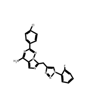 Nc1nc(-c2ccc(Cl)cc2)nn2c(Cc3cn(-c4ccccc4F)nn3)ncc12